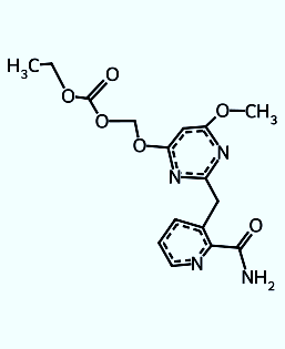 CCOC(=O)OCOc1cc(OC)nc(Cc2cccnc2C(N)=O)n1